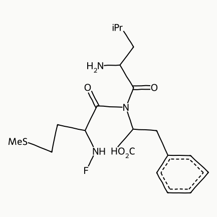 CSCCC(NF)C(=O)N(C(=O)C(N)CC(C)C)C(Cc1ccccc1)C(=O)O